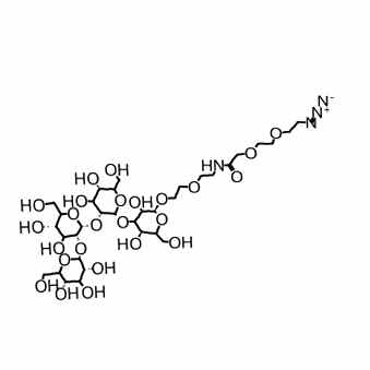 [N-]=[N+]=NCCOCCOCC(=O)NCCOCCO[C@H]1OC(CO)[C@@H](O)C(O[C@H]2OC(CO)[C@@H](O)C(O)[C@H]2O[C@H]2OC(CO)[C@@H](O)C(O)[C@H]2O[C@H]2OC(CO)[C@@H](O)C(O)[C@H]2O)[C@H]1O